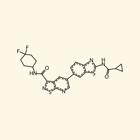 O=C(NC1CCC(F)(F)CC1)c1nsc2ncc(-c3ccc4nc(NC(=O)C5CC5)sc4c3)cc12